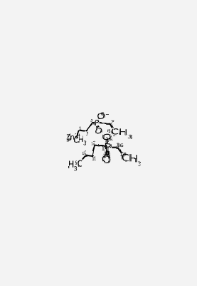 CCCCP(=O)([O-])CC.CCCCP(=O)([O-])CC.[Zn+2]